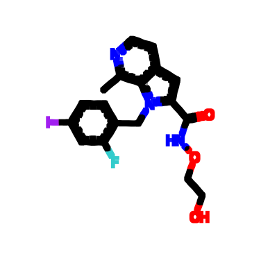 Cc1nccc2cc(C(=O)NOCCO)n(Cc3ccc(I)cc3F)c12